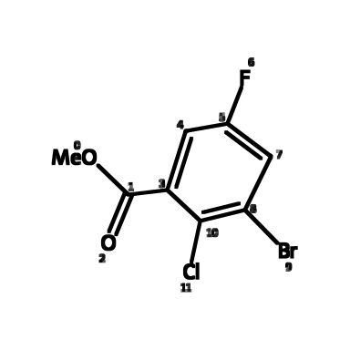 COC(=O)c1cc(F)cc(Br)c1Cl